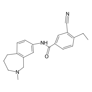 CCc1ccc(C(=O)Nc2ccc3c(c2)CN(C)CCC3)cc1C#N